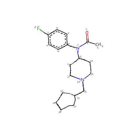 CC(=O)N(c1ccc(F)cc1)C1CCN(CC2CCCC2)CC1